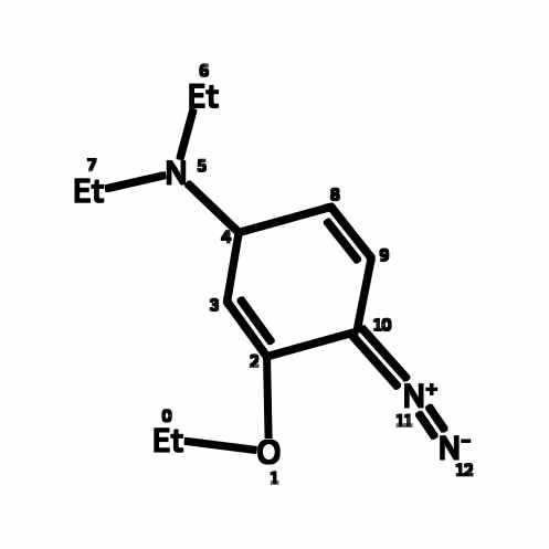 CCOC1=CC(N(CC)CC)C=CC1=[N+]=[N-]